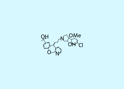 COC1(C2C=CC(Cl)=CC2)CCN(CC/C=C2/c3cc(C(C)(C)O)ccc3OCc3ncccc32)CC1O